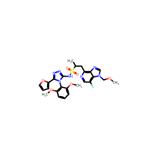 COCn1cnc2c(CC(C)S(=O)(=O)Nc3nnc(-c4ccco4)n3-c3c(OC)cccc3OC)ncc(F)c21